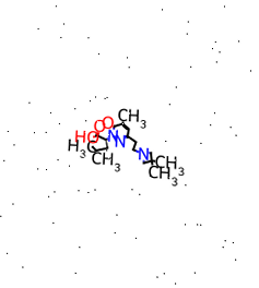 Cc1cc(CCN2CC(C)(C)C2)nn([C@@H](CC(C)C)C(=O)O)c1=O